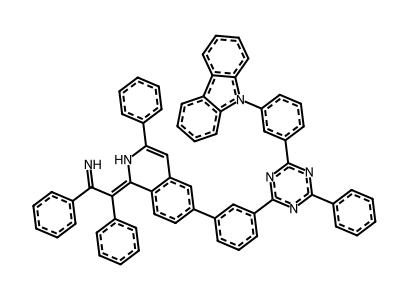 N=C(/C(=C1\NC(c2ccccc2)=Cc2cc(-c3cccc(-c4nc(-c5ccccc5)nc(-c5cccc(-n6c7ccccc7c7ccccc76)c5)n4)c3)ccc21)c1ccccc1)c1ccccc1